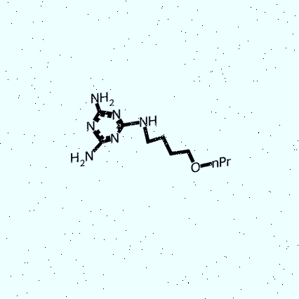 CCCOCCCCNc1nc(N)nc(N)n1